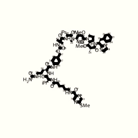 CC[C@H](C)[C@@H]([C@@H](CC(=O)N1CCC[C@H]1C(OC)[C@@H](C)C(=O)N[C@@H](Cc1ccccc1)c1nccs1)OC)N(C)C(=O)[C@@H](NC(=O)C(C)(C)NC(=O)OCc1ccc(NC(=O)[C@H](CCCNC(N)=O)NC(=O)[C@@H](NC(=O)CCCCCNC(=O)c2cnc(SC)cn2)C(C)C)cc1)C(C)C